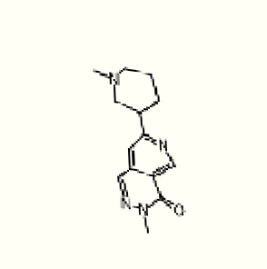 CN1CCCC(c2cc3cnn(C)c(=O)c3cn2)C1